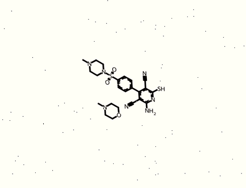 CN1CCN(S(=O)(=O)c2ccc(-c3c(C#N)c(N)nc(S)c3C#N)cc2)CC1.CN1CCOCC1